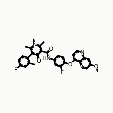 COc1cnc2c(Oc3ccc(NC(=O)c4c(C)n(C)c(C)c(-c5ccc(F)cc5C)c4=O)cc3F)ccnc2c1